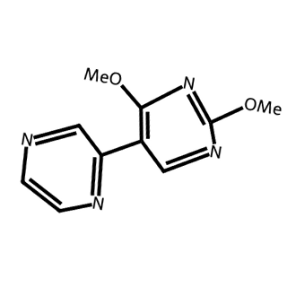 COc1ncc(-c2cnccn2)c(OC)n1